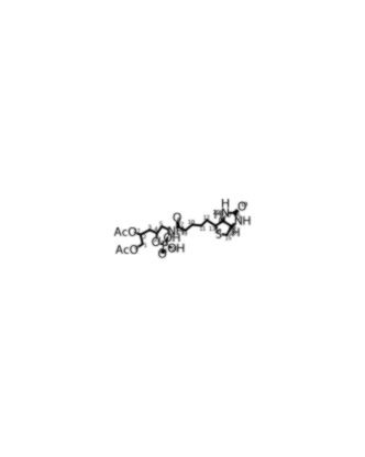 CC(=O)OCC(CC(CNC(=O)CCCCC1SC[C@@H]2NC(=O)N[C@H]12)OP(=O)(O)O)OC(C)=O